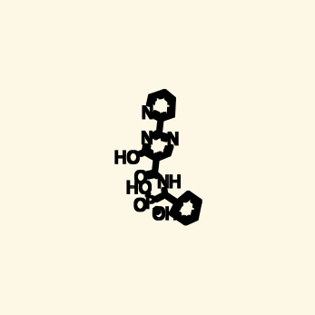 O=C(NC(c1ccccc1)P(=O)(O)O)c1cnc(-c2ccccn2)nc1O